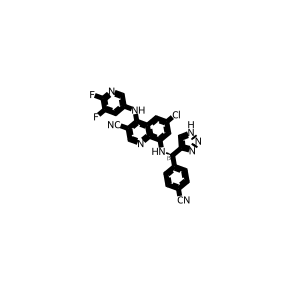 N#Cc1ccc([C@H](Nc2cc(Cl)cc3c(Nc4cnc(F)c(F)c4)c(C#N)cnc23)c2c[nH]nn2)cc1